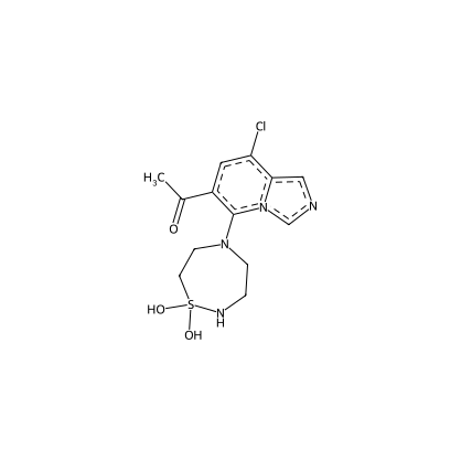 CC(=O)c1cc(Cl)c2cncn2c1N1CCNS(O)(O)CC1